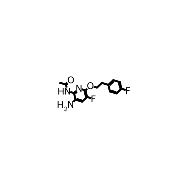 CC(=O)Nc1nc(OCCc2ccc(F)cc2)c(F)cc1N